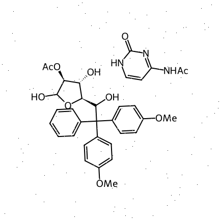 CC(=O)Nc1cc[nH]c(=O)n1.COc1ccc(C(c2ccccc2)(c2ccc(OC)cc2)C(O)[C@H]2OC(O)[C@@H](OC(C)=O)[C@@H]2O)cc1